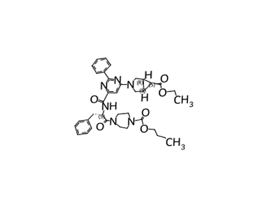 CCCCOC(=O)N1CCN(C(=O)[C@H](Cc2ccccc2)NC(=O)c2cc(N3C[C@@H]4[C@H](C3)[C@@H]4C(=O)OCC)nc(-c3ccccc3)n2)CC1